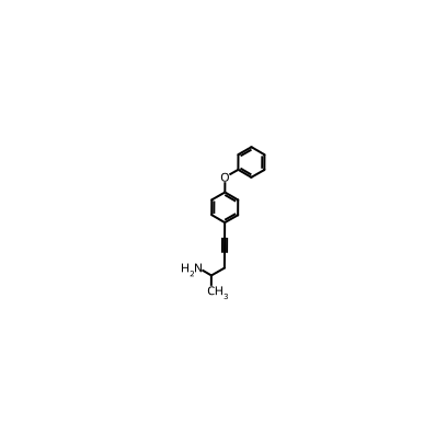 CC(N)CC#Cc1ccc(Oc2ccccc2)cc1